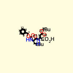 CC(C)(C)C[C@@H](NC(=O)OCc1ccccc1)C(=O)N[C@@H](CC(=O)OC(C)(C)C)C(=O)O